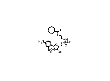 C[C@@]1(O)[C@H](O)[C@@H](COP(=O)(O)NCCOC(=O)C2CCCCCC2)O[C@H]1n1ccc(N)nc1=O